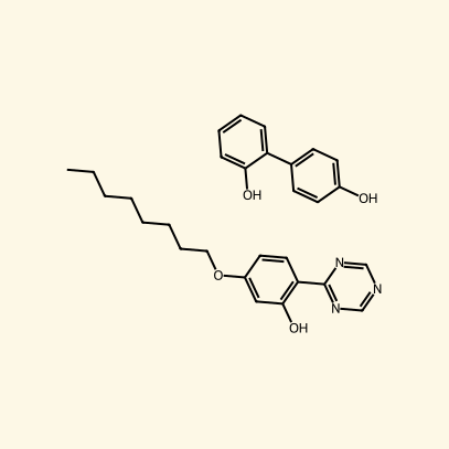 CCCCCCCCOc1ccc(-c2ncncn2)c(O)c1.Oc1ccc(-c2ccccc2O)cc1